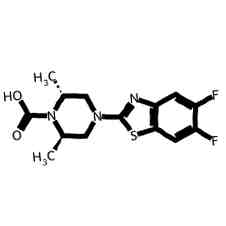 C[C@@H]1CN(c2nc3cc(F)c(F)cc3s2)C[C@@H](C)N1C(=O)O